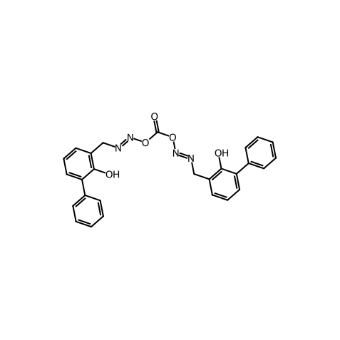 O=C(O/N=N/Cc1cccc(-c2ccccc2)c1O)O/N=N/Cc1cccc(-c2ccccc2)c1O